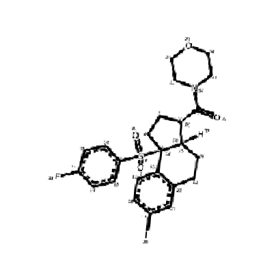 O=C([C@@H]1CC[C@@]2(S(=O)(=O)c3ccc(F)cc3)c3ccc(I)cc3CC[C@@H]12)N1CCOCC1